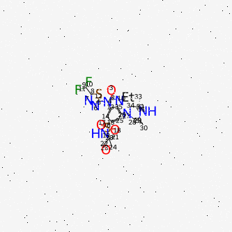 CCn1c(=O)n(-c2nnc(C(F)F)s2)c2cc(S(=O)(=O)NC3(C)COC3)cc(N3C[C@H](C)N[C@@H](C)C3)c21